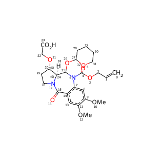 C=CCOC(=O)N1c2cc(OC)c(OC)cc2C(=O)N2CC[C@H](OCC(=O)O)[C@H]2C1OC1CCCCO1